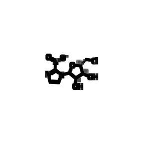 O=[N+]([O-])c1nccn1C1O[C@H](CCl)[C@@H](O)[C@H]1O